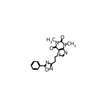 Cn1c(=O)c2c(ncn2CCc2noc(-c3ccccc3)n2)n(C)c1=O